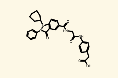 O=C(O)Cc1ccc(NC(=O)CNC(=O)c2ccc3c(c2)c(=O)n(-c2ccccc2)n3C2CCCCC2)cc1